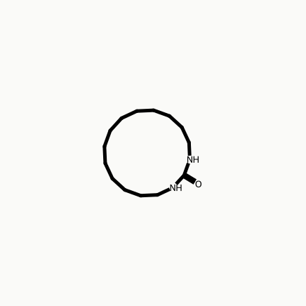 O=C1NCCCCCCCCCCCCCN1